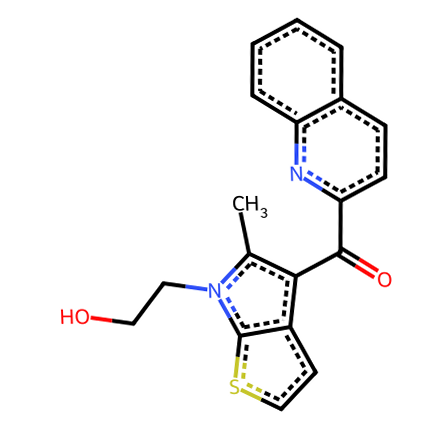 Cc1c(C(=O)c2ccc3ccccc3n2)c2ccsc2n1CCO